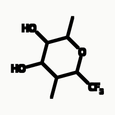 CC1OC(C(F)(F)F)C(C)C(O)C1O